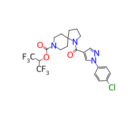 O=C(OC(C(F)(F)F)C(F)(F)F)N1CCC2(CCCN2C(=O)c2cnn(-c3ccc(Cl)cc3)c2)CC1